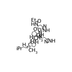 CCC(=O)NC(Cc1c[nH]cn1)C(=O)O[C@H]1CC[C@]2(C)[C@H]3CC[C@]4(C)[C@@H](C(C)CCCC(C)C)CC[C@H]4[C@@H]3C[C@@H](NCCc3c[nH]cn3)[C@@]2(O)C1